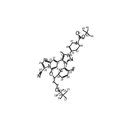 Cc1c(-c2cc(OC(CCO[Si](C)(C)C(C)(C)C)c3ccc(F)cn3)n3c(C#N)cnc3c2)nnn1C1CCN(C(=O)OC(C)(C)C)CC1